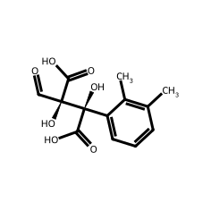 Cc1cccc([C@](O)(C(=O)O)[C@](O)(C=O)C(=O)O)c1C